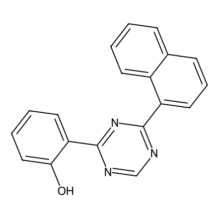 Oc1ccccc1-c1ncnc(-c2cccc3ccccc23)n1